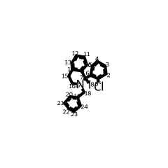 Clc1ccccc1C1(I)c2ccccc2CCN1Cc1ccccc1